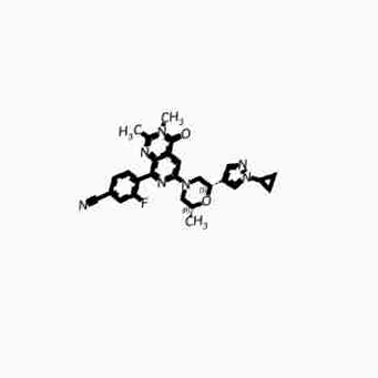 Cc1nc2c(-c3ccc(C#N)cc3F)nc(N3C[C@@H](C)O[C@@H](c4cnn(C5CC5)c4)C3)cc2c(=O)n1C